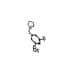 Fc1cc(Br)cc(SN2CCCC2)c1